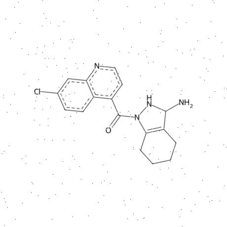 NC1NN(C(=O)c2ccnc3cc(Cl)ccc23)C2=C1CCCC2